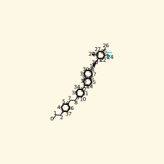 CCCc1ccc(CCc2ccc(-c3ccc4cc(C#Cc5cc(F)c(C)cc5C)ccc4c3)cc2)cc1